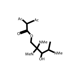 CNC(C)C(O)C(COC(=O)C(C(C)=O)C(C)=O)(NC)NC